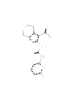 Cc1cccc(NC(=O)Nc2sc3c(c2C(N)=O)CCOC3)n1